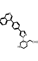 O=CCN1CCNC[C@@H]1n1cc(-c2ccc(-c3cncc4ccccc34)cc2)cn1